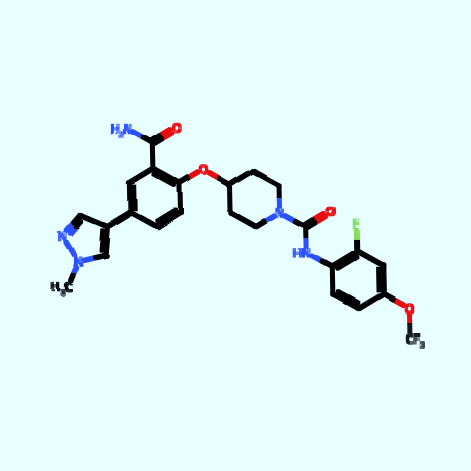 Cn1cc(-c2ccc(OC3CCN(C(=O)Nc4ccc(OC(F)(F)F)cc4F)CC3)c(C(N)=O)c2)cn1